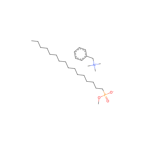 CCCCCCCCCCCCCCCCP(=O)([O-])OC.C[N+](C)(C)Cc1ccccc1